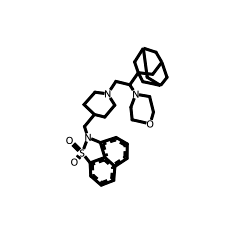 O=S1(=O)c2cccc3cccc(c23)N1CC1CCN(CC(N2CCOCC2)C23CC4CC(CC(C4)C2)C3)CC1